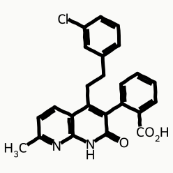 Cc1ccc2c(CCc3cccc(Cl)c3)c(-c3ccccc3C(=O)O)c(=O)[nH]c2n1